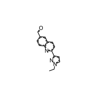 CCn1ccc(-c2ccc3cc(C=O)ccc3n2)n1